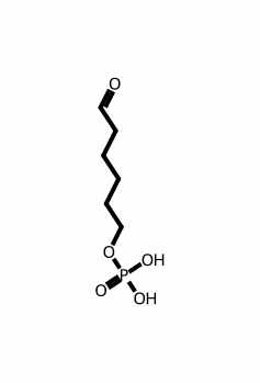 O=CCCCCCOP(=O)(O)O